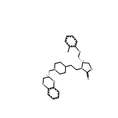 Cc1ccccc1OC[C@@H]1COC(=O)N1CCC1CCN(C[C@H]2COc3ccccc3O2)CC1